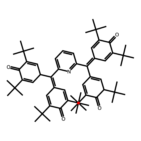 CC(C)(C)C1=CC(=C(C2=CC(C(C)(C)C)C(=O)C(C(C)(C)C)=C2)c2cccc(C(=C3C=C(C(C)(C)C)C(=O)C(C(C)(C)C)=C3)C3C=C(C(C)(C)C)C(=O)C(C(C)(C)C)=C3)n2)C=C(C(C)(C)C)C1=O